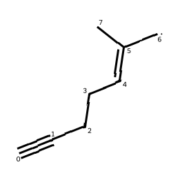 C#CCCC=C([CH2])C